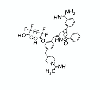 CC(=N)N1CCC(Cc2ccc(C[C@@H](COc3cccc(C(=N)N)c3)NS(=O)(=O)c3ccccc3)cc2)CC1.O=C(O)C(F)(F)F.O=C(O)C(F)(F)F